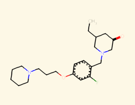 CCC1CC(=O)CN(Cc2ccc(OCCCN3CCCCC3)cc2F)C1